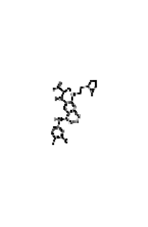 C=C(F)C(=O)Nc1cc2c(Nc3ccc(F)c(Cl)c3)ncnc2cc1OCCC1CCCN1C